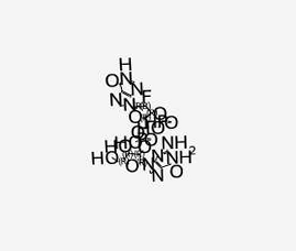 Nc1nc2c(ncn2[C@@H]2O[C@H](CO)[C@@H](O)[C@H]2OP(=O)(O)OC[C@H]2O[C@@H](n3cnc4c(=O)[nH]cnc43)[C@@H](F)[C@@H]2O[PH](=O)O)c(=O)[nH]1